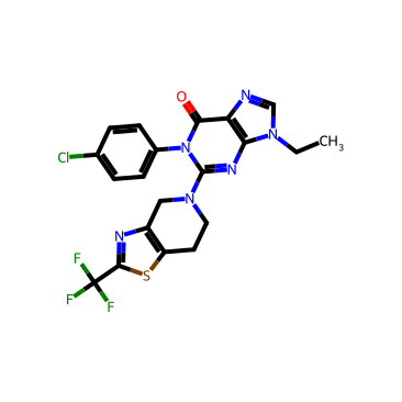 CCn1cnc2c(=O)n(-c3ccc(Cl)cc3)c(N3CCc4sc(C(F)(F)F)nc4C3)nc21